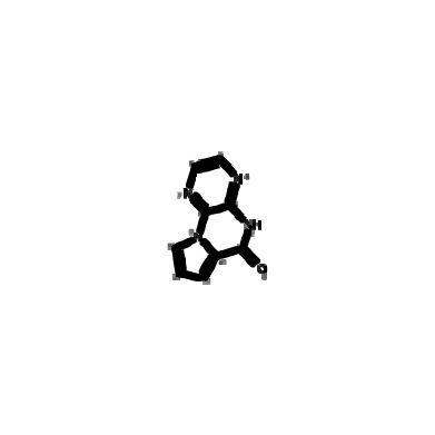 O=c1[nH]c2nccnc2n2cccc12